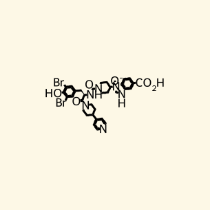 O=C(O)c1ccc2c(c1)NC[N+]2([O-])C1CCN(C(=O)N[C@H](Cc2cc(Br)c(O)c(Br)c2)C(=O)N2CCC(c3ccncc3)CC2)CC1